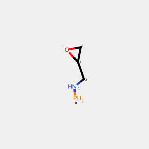 PNCC1CO1